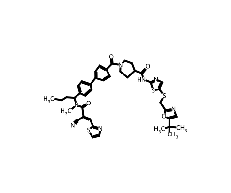 CCCC(c1ccc(-c2ccc(C(=O)N3CCC(C(=O)Nc4ncc(SCc5ncc(C(C)(C)C)o5)s4)CC3)cc2)cc1)N(C)C(=O)/C(C#N)=C/c1nccs1